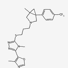 Cc1ncoc1-c1nnc(SCCCN2CC3(C)CC3(c3ccc(C(F)(F)F)cc3)C2)n1C